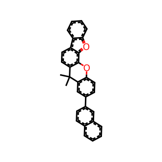 CC1(C)c2cc(-c3ccc4ccccc4c3)ccc2Oc2c1ccc1c2oc2ccccc21